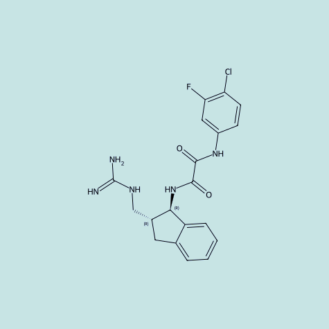 N=C(N)NC[C@H]1Cc2ccccc2[C@@H]1NC(=O)C(=O)Nc1ccc(Cl)c(F)c1